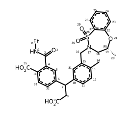 CCNC(=O)c1cc(C(CC(=O)O)c2ccc(C)c(CN3C[C@@H](C)Oc4ccccc4S3(=O)=O)c2)ccc1C(=O)O